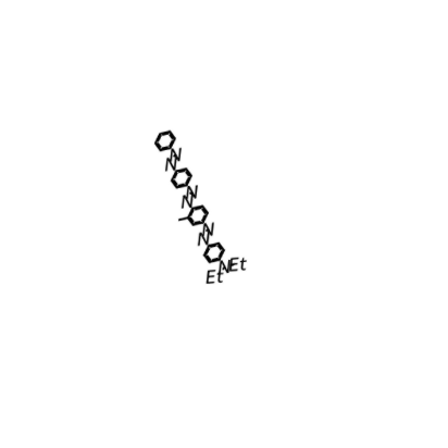 CCN(CC)c1ccc(N=Nc2ccc(N=Nc3ccc(N=Nc4ccccc4)cc3)c(C)c2)cc1